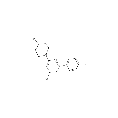 OC1CCN(c2nc(Cl)cc(-c3ccc(F)cc3)n2)CC1